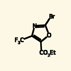 CCOC(=O)c1oc(Br)nc1C(F)(F)F